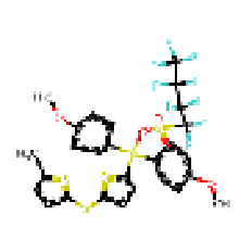 COc1ccc(S(OS(=O)(=O)C(F)(F)C(F)(F)C(F)(F)C(F)(F)F)(c2ccc(OC)cc2)c2ccc(Sc3ccc(C)s3)s2)cc1